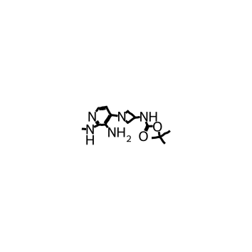 CNc1nccc(N2CC(NC(=O)OC(C)(C)C)C2)c1N